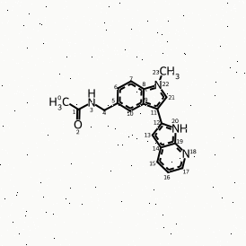 CC(=O)NCc1ccc2c(c1)c(-c1cc3cccnc3[nH]1)cn2C